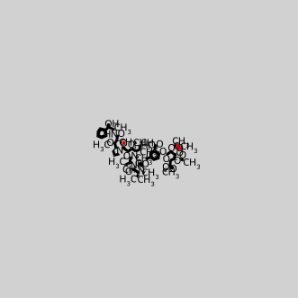 CCC(C)C(C(CC(=O)N1CCC[C@H]1[C@H](OC)[C@@H](C)C(=O)NC(C)C(O)c1ccccc1)OC)N(C)C(=O)[C@@H](NC(=O)[C@H](C(C)C)N(C)C(=O)OCc1ccc(OC2OC(C(=O)OC)[C@@H](OC(C)=O)C(OC(C)=O)[C@H]2OC(C)=O)c(C(=O)O)c1)C(C)C